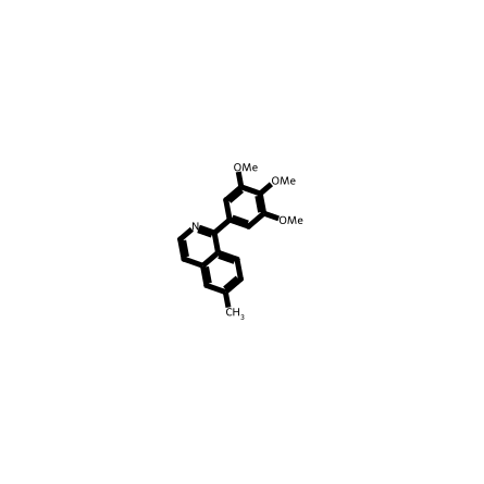 COc1cc(-c2nccc3cc(C)ccc23)cc(OC)c1OC